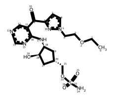 CCOCCn1ccc(C(=O)c2cncnc2N[C@@H]2C[C@H](COS(N)(=O)=O)C[C@H]2O)n1